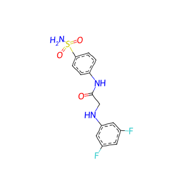 NS(=O)(=O)c1ccc(NC(=O)CNc2cc(F)cc(F)c2)cc1